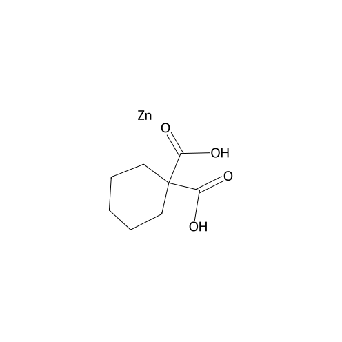 O=C(O)C1(C(=O)O)CCCCC1.[Zn]